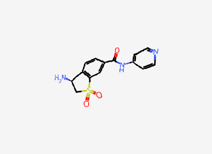 N[C@@H]1CS(=O)(=O)c2cc(C(=O)Nc3ccncc3)ccc21